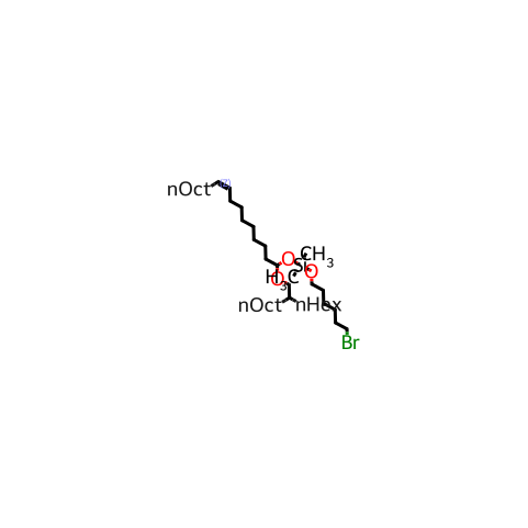 CCCCCCCC/C=C\CCCCCCCC(OCC(CCCCCC)CCCCCCCC)O[Si](C)(C)OCCCCCCBr